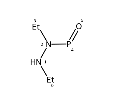 CCNN(CC)P=O